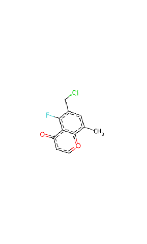 Cc1cc(CCl)c(F)c2c(=O)ccoc12